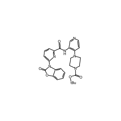 CC(C)(C)OC(=O)N1CCN(c2ccncc2NC(=O)c2cccc(-n3c(=O)oc4ccccc43)n2)CC1